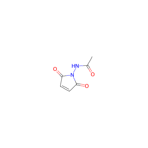 CC(=O)NN1C(=O)C=CC1=O